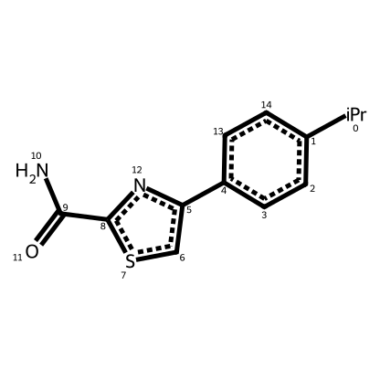 CC(C)c1ccc(-c2csc(C(N)=O)n2)cc1